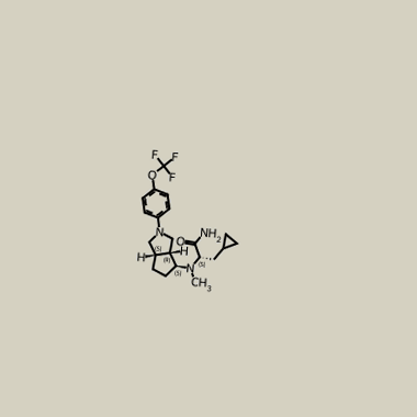 CN([C@@H](CC1CC1)C(N)=O)[C@H]1CC[C@@H]2CN(c3ccc(OC(F)(F)F)cc3)C[C@@H]21